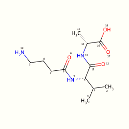 CC(C)[C@H](NC(=O)CCCN)C(=O)N[C@H](C)C(=O)O